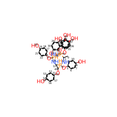 CC1N[PH]2(Oc3ccc(O)cc3)C(N[PH](Oc3ccc(O)cc3)(Oc3ccc(O)cc3)N[PH]1(Oc1ccc(O)cc1)Oc1ccc(O)cc1)C2Oc1ccc(O)cc1